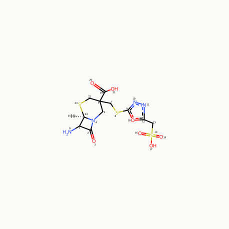 NC1C(=O)N2CC(CSc3nnc(CS(=O)(=O)O)o3)(C(=O)O)CS[C@H]12